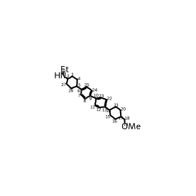 CCNC1CCC(c2ccc(-c3ccc(C4CCC(COC)CC4)cc3)cc2)CC1